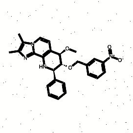 CO[C@@H]1c2ccn3c(C)c(C)nc3c2N[C@H](c2ccccc2)[C@H]1OCc1cccc([N+](=O)[O-])c1